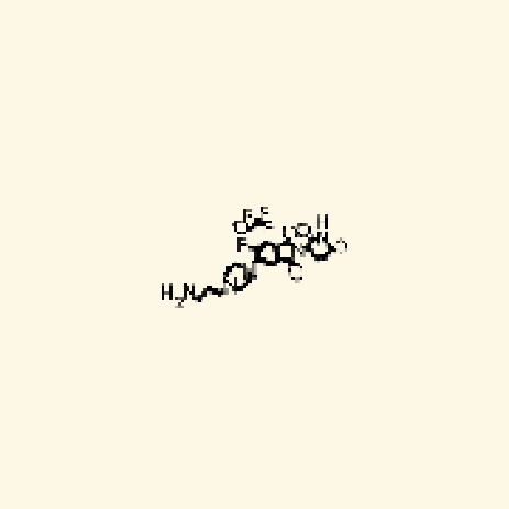 NCCCN1CCN(c2cc3c(cc2F)C(=O)N(C2CCC(=O)NC2=O)C3=O)CC1.O=CC(F)(F)F